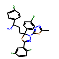 Cc1nnc(N2N=C(c3cc(F)ccc3F)SC2(CCC(N)c2ccc(Br)cc2)c2ccc(Br)cc2)s1